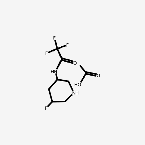 CC(=O)O.O=C(NC1CNCC(F)C1)C(F)(F)F